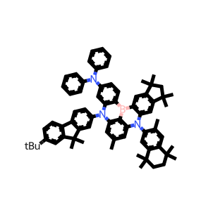 Cc1cc2c3c(c1)N(c1cc4c(cc1C)C(C)(C)CCC4(C)C)c1cc4c(cc1B3c1ccc(N(c3ccccc3)c3ccccc3)cc1N2c1ccc2c(c1)C(C)(C)c1cc(C(C)(C)C)ccc1-2)C(C)(C)CC4(C)C